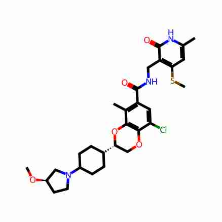 CO[C@@H]1CCN(C2CCC([C@H]3COc4c(Cl)cc(C(=O)NCc5c(SC)cc(C)[nH]c5=O)c(C)c4O3)CC2)C1